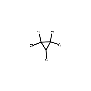 ClC1C(Cl)(Cl)C1(Cl)Cl